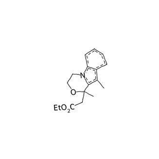 CCOC(=O)CC1(C)OCCn2c1c(C)c1ccccc12